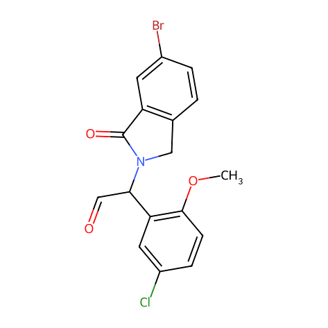 COc1ccc(Cl)cc1C(C=O)N1Cc2ccc(Br)cc2C1=O